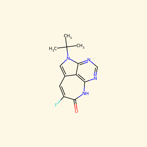 CC(C)(C)n1cc2c3c(ncnc31)NC(=O)C(F)=C2